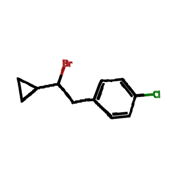 Clc1ccc(CC(Br)C2CC2)cc1